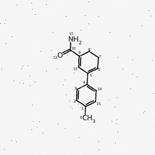 Cc1ccc(C2=CCCC(C(N)=O)=C2)cc1